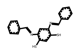 Sc1cc(S)c(/N=C/c2ccccc2)cc1/N=C/c1ccccc1